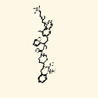 Cc1cc(CC(OC(=O)N2CCC(N3Cc4ccccc4NC3=O)CC2)c2ccco2)cc2cnn(COCC[Si](C)(C)C)c12